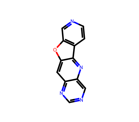 c1cc2c(cn1)oc1cc3ncncc3nc12